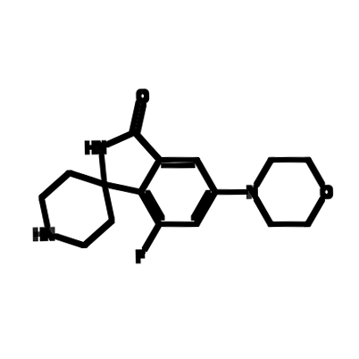 O=C1NC2(CCNCC2)c2c(F)cc(N3CCOCC3)cc21